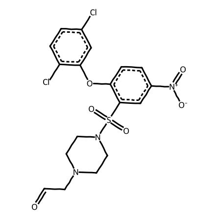 O=CCN1CCN(S(=O)(=O)c2cc([N+](=O)[O-])ccc2Oc2cc(Cl)ccc2Cl)CC1